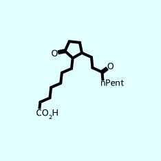 CCCCCC(=O)CCC1CCC(=O)C1CCCCCCC(=O)O